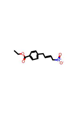 CCOC(=O)c1ccc(CC=CC[N+](=O)[O-])cc1